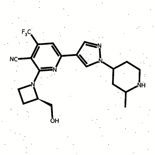 CC1CC(n2cc(-c3cc(C(F)(F)F)c(C#N)c(N4CC[C@@H]4CO)n3)cn2)CCN1